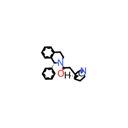 O=C(C[C@H]1CN2CCC1CC2)N1CCc2ccccc2[C@H]1c1ccccc1